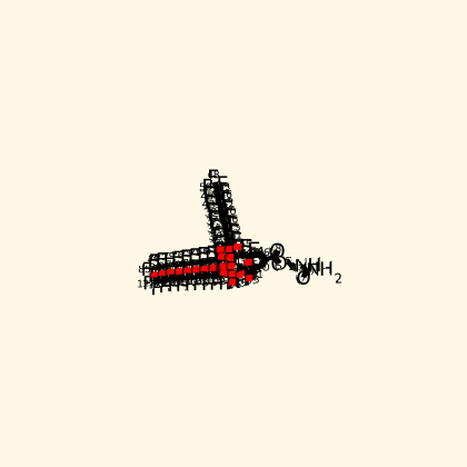 NC(=O)NCCOC(=O)c1ccc([Si](C(F)(C(F)(F)F)C(F)(F)C(F)(F)C(F)(F)C(F)(F)C(F)(F)C(F)(F)C(F)(F)C(F)(F)C(F)(F)C(F)(F)F)(C(F)(C(F)(F)F)C(F)(F)C(F)(F)C(F)(F)C(F)(F)C(F)(F)C(F)(F)C(F)(F)C(F)(F)C(F)(F)C(F)(F)F)C(F)(C(F)(F)F)C(F)(F)C(F)(F)C(F)(F)C(F)(F)C(F)(F)C(F)(F)C(F)(F)C(F)(F)C(F)(F)C(F)(F)F)cc1